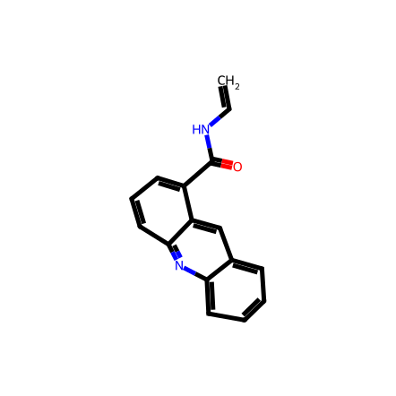 C=CNC(=O)c1cccc2nc3ccccc3cc12